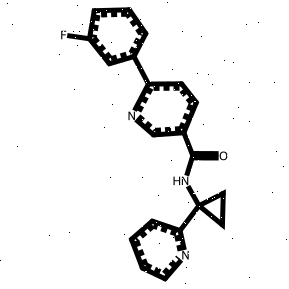 O=C(NC1(c2ccccn2)CC1)c1ccc(-c2cccc(F)c2)nc1